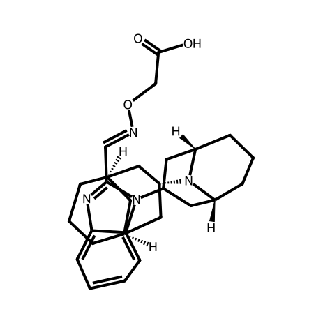 O=C(O)CO/N=C/c1nc2ccccc2n1C1C[C@H]2CCC[C@@H](C1)N2[C@H]1C[C@@H]2CCC[C@@H](C2)C1